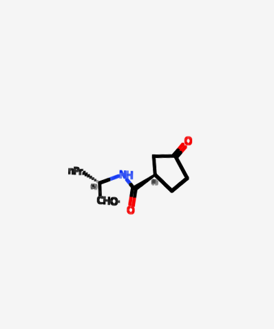 CCC[C@@H]([C]=O)NC(=O)[C@@H]1CCC(=O)C1